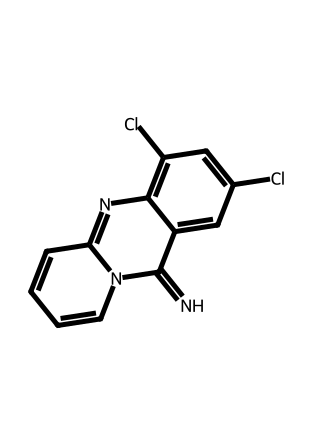 N=c1c2cc(Cl)cc(Cl)c2nc2ccccn12